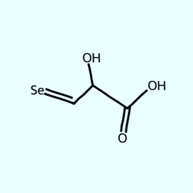 O=C(O)C(O)C=[Se]